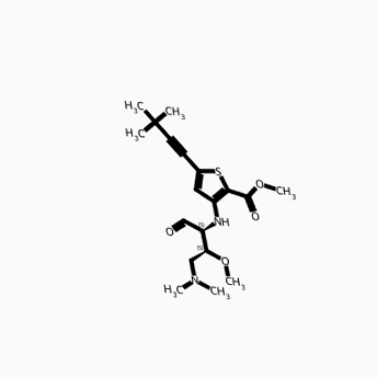 COC(=O)c1sc(C#CC(C)(C)C)cc1N[C@H](C=O)[C@H](CN(C)C)OC